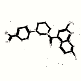 Cc1cc(C(=O)N2CCC[C@H](C3=CC=C(C(=O)O)CC3)C2)c2ccc(F)cc2n1